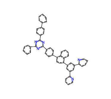 c1ccc(-c2ccc(-c3nc(-c4ccccc4)nc(-c4ccc(-c5ccc(-c6cc(-c7ccccn7)cc(-c7ccccn7)c6)c6ccccc56)cc4)n3)cc2)cc1